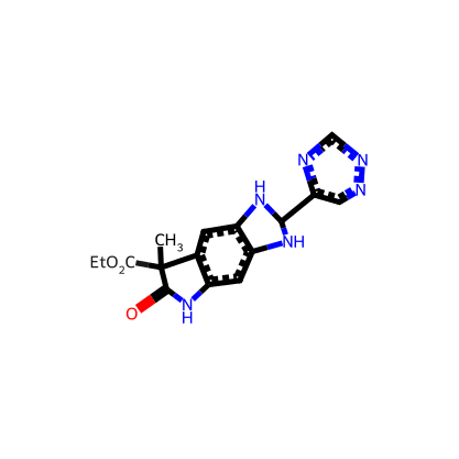 CCOC(=O)C1(C)C(=O)Nc2cc3c(cc21)NC(c1cnncn1)N3